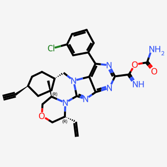 C#C[C@H]1CC[C@H](Cn2c(N3[C@H](C)COC[C@H]3C=C)nc3nc(C(=N)OC(N)=O)nc(-c4cccc(Cl)c4)c32)CC1